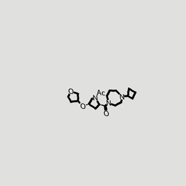 CC(=O)N1C[C@@H](OC2CCOC2)C[C@@H]1C(=O)N1CCCN(C2CCC2)CC1